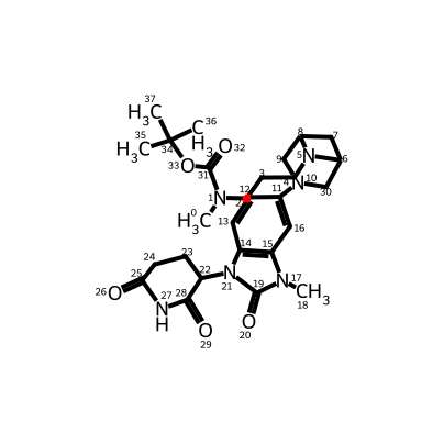 CN(CCCN1C2CC1CN(c1ccc3c(c1)n(C)c(=O)n3C1CCC(=O)NC1=O)C2)C(=O)OC(C)(C)C